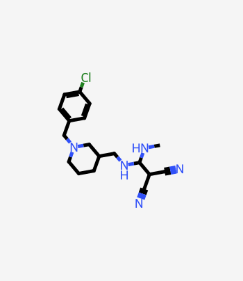 CNC(NCC1CCCN(Cc2ccc(Cl)cc2)C1)C(C#N)C#N